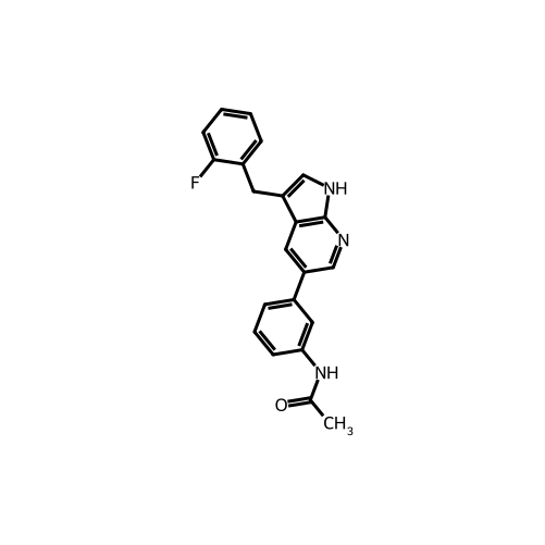 CC(=O)Nc1cccc(-c2cnc3[nH]cc(Cc4ccccc4F)c3c2)c1